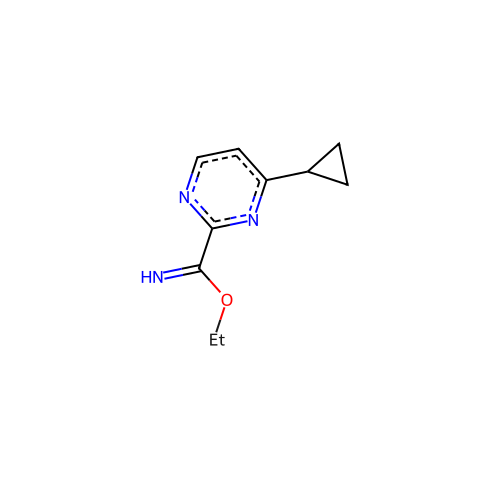 CCOC(=N)c1nccc(C2CC2)n1